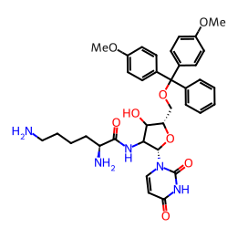 COc1ccc(C(OC[C@@H]2O[C@H](n3ccc(=O)[nH]c3=O)C(NC(=O)[C@@H](N)CCCCN)C2O)(c2ccccc2)c2ccc(OC)cc2)cc1